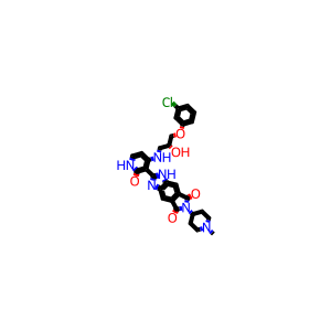 CN1CCC(N2C(=O)c3cc4nc(-c5c(NCC(O)COc6cccc(Cl)c6)cc[nH]c5=O)[nH]c4cc3C2=O)CC1